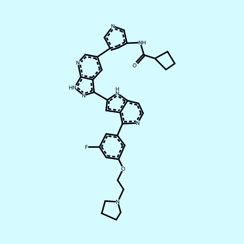 O=C(Nc1cncc(-c2cnc3[nH]nc(-c4cc5c(-c6cc(F)cc(OCCN7CCCC7)c6)nccc5[nH]4)c3c2)c1)C1CCC1